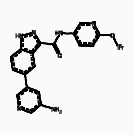 CC(C)Oc1ccc(NC(=O)c2n[nH]c3ccc(-c4cncc(N)c4)cc23)cn1